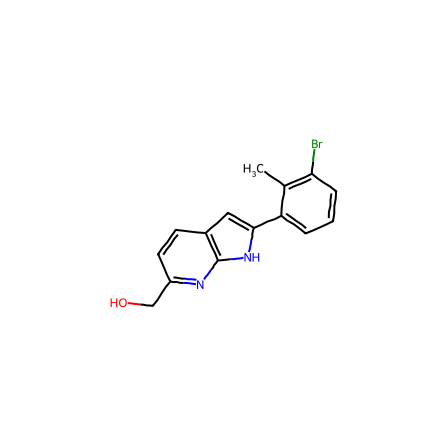 Cc1c(Br)cccc1-c1cc2ccc(CO)nc2[nH]1